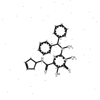 CN(c1nc(C(=O)NC2CC=CC2)c(O)c(=O)n1C)C(c1ccccc1)c1ccccc1